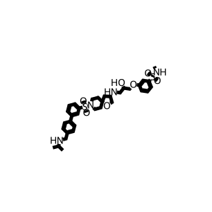 CNS(=O)(=O)c1cccc(OCC(O)CN[C@@H]2COC3(CCN(S(=O)(=O)c4cccc(-c5ccc(CNC(C)C)cc5)c4)CC3)C2)c1